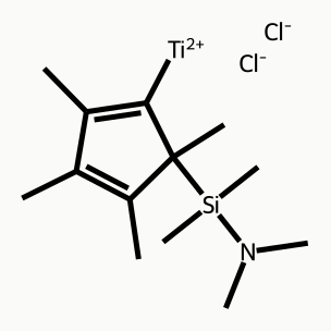 CC1=C(C)C(C)([Si](C)(C)N(C)C)[C]([Ti+2])=C1C.[Cl-].[Cl-]